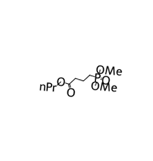 CCCOC(=O)CCCP(=O)(OC)OC